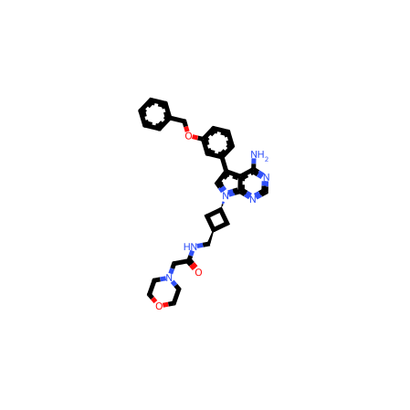 Nc1ncnc2c1c(-c1cccc(OCc3ccccc3)c1)cn2[C@H]1C[C@H](CNC(=O)CN2CCOCC2)C1